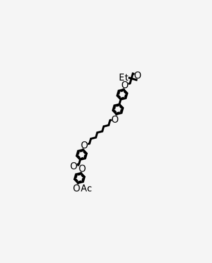 CCC1(COc2ccc(-c3ccc(OCCCCCCCCOc4ccc(C(=O)Oc5ccc(OC(C)=O)cc5)cc4)cc3)cc2)COC1